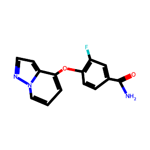 NC(=O)c1ccc(Oc2cccn3nccc23)c(F)c1